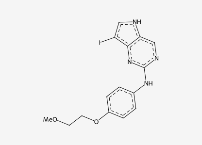 COCCOc1ccc(Nc2ncc3[nH]cc(I)c3n2)cc1